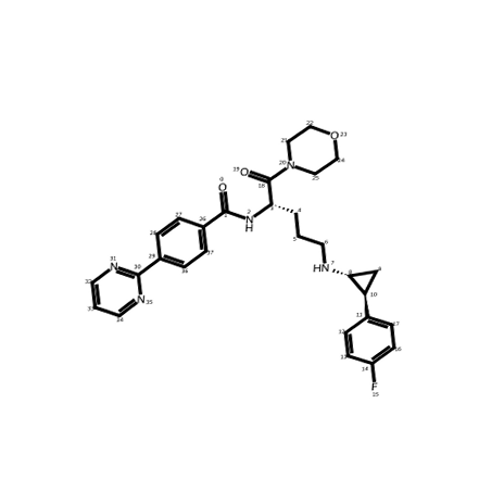 O=C(N[C@@H](CCCN[C@@H]1C[C@H]1c1ccc(F)cc1)C(=O)N1CCOCC1)c1ccc(-c2ncccn2)cc1